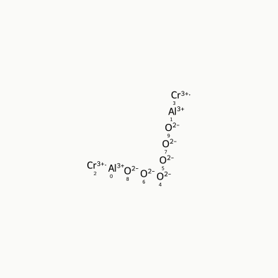 [Al+3].[Al+3].[Cr+3].[Cr+3].[O-2].[O-2].[O-2].[O-2].[O-2].[O-2]